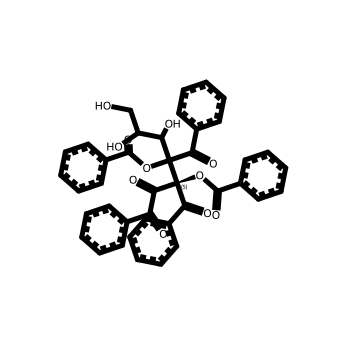 O=C(OC(C(=O)c1ccccc1)(C(O)C(O)CO)[C@@](OC(=O)c1ccccc1)(C(=O)C(=O)c1ccccc1)C(=O)c1ccccc1)c1ccccc1